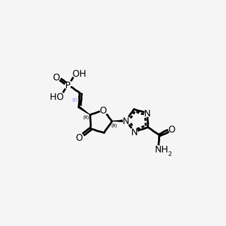 NC(=O)c1ncn([C@H]2CC(=O)[C@@H](/C=C/P(=O)(O)O)O2)n1